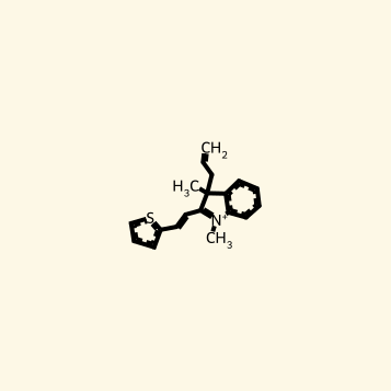 C=CCC1(C)C(/C=C/c2cccs2)=[N+](C)c2ccccc21